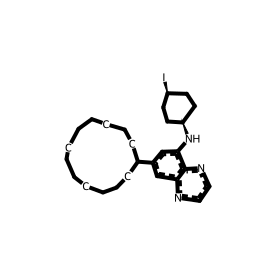 I[C@H]1CC[C@@H](Nc2cc(C3CCCCCCCCCCCC3)cc3nccnc23)CC1